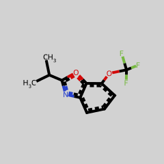 CC(C)c1nc2cccc(OC(F)(F)F)c2o1